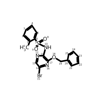 Cc1ccccc1S(=O)(=O)Nc1ncc(Br)nc1OCc1ccccc1